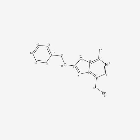 Cc1ncc(CBr)c2cc(OCc3ccccc3)oc12